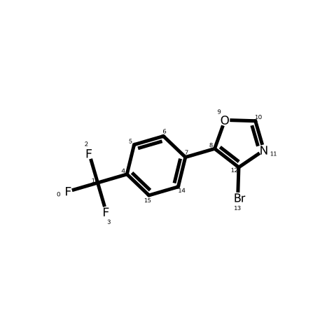 FC(F)(F)c1ccc(-c2ocnc2Br)cc1